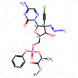 CC(C)OC(=O)[C@H](C)OP(=O)(OC[C@H]1O[C@@H](n2ncc(N)nc2=O)[C@](C#CCl)(N=NN)C1O)Oc1ccccc1